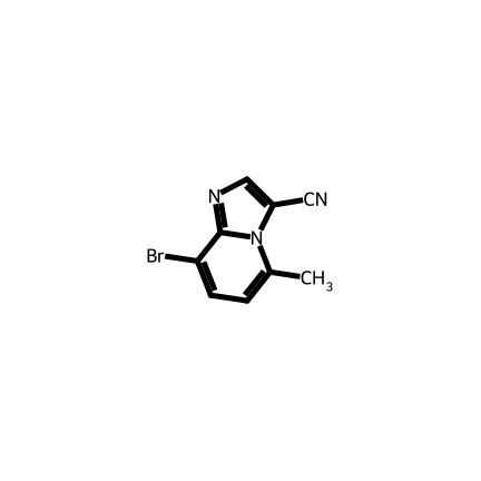 Cc1ccc(Br)c2ncc(C#N)n12